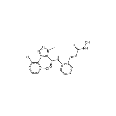 Cc1onc(-c2c(Cl)cccc2Cl)c1C(=O)Nc1ccccc1C=CC(=O)NO